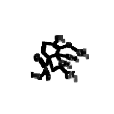 CCCC1(S(=O)(=O)O)C=CC(C)=C(OC)C1(C)C